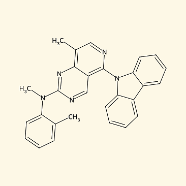 Cc1ccccc1N(C)c1ncc2c(-n3c4ccccc4c4ccccc43)ncc(C)c2n1